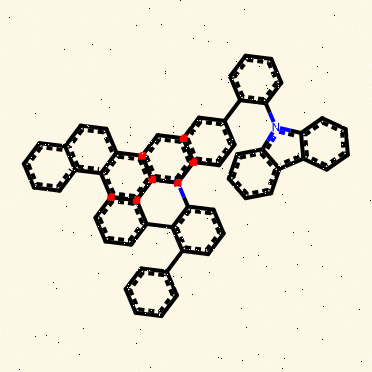 c1ccc(-c2ccccc2-c2c(-c3ccccc3)cccc2N(c2ccc(-c3ccccc3-n3c4ccccc4c4ccccc43)cc2)c2ccc3c(ccc4ccccc43)c2)cc1